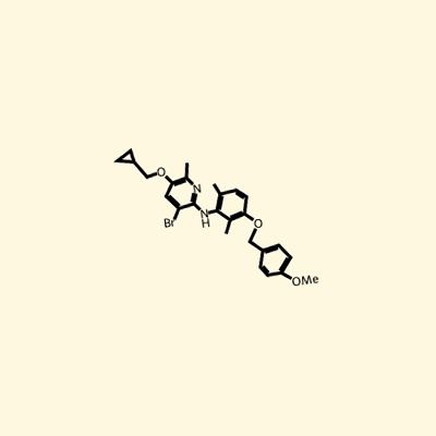 COc1ccc(COc2ccc(C)c(Nc3nc(C)c(OCC4CC4)cc3Br)c2C)cc1